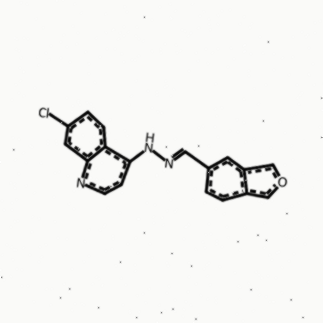 Clc1ccc2c(NN=Cc3ccc4cocc4c3)ccnc2c1